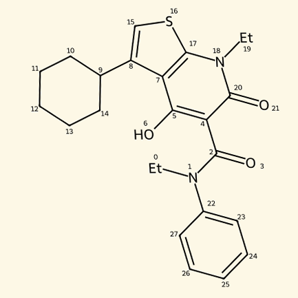 CCN(C(=O)c1c(O)c2c(C3CCCCC3)csc2n(CC)c1=O)c1ccccc1